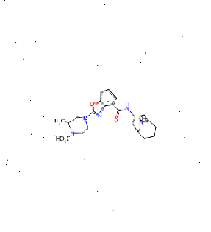 CC1CN(c2nc3c(C(=O)NC4CC5CCCC(C4)N5C)cccc3o2)CCN1C(=O)O